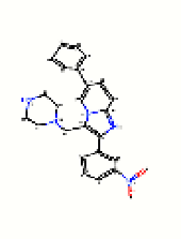 O=[N+]([O-])c1cccc(-c2nc3ccc(-c4ccccc4)cn3c2CN2CCNCC2)c1